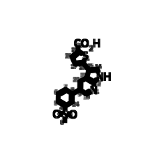 CS(=O)(=O)c1cccc(-c2cnc3[nH]cc(-c4ccc(C(=O)O)s4)c3c2)c1